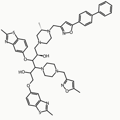 Cc1cc(CN2CCN(C(C(O)COc3ccc4sc(C)nc4c3)C(Oc3ccc4sc(C)nc4c3)[C@H](O)CN3CCN(Cc4cc(-c5ccc(-c6ccccc6)cc5)on4)[C@@H](C)C3)CC2)no1